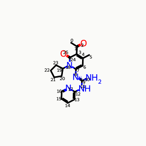 CC(=O)c1c(C)cc(/N=C(\N)Nc2ccccn2)n(C2CCCC2)c1=O